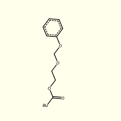 CCC(C)C(=O)OCCOCOc1ccccc1